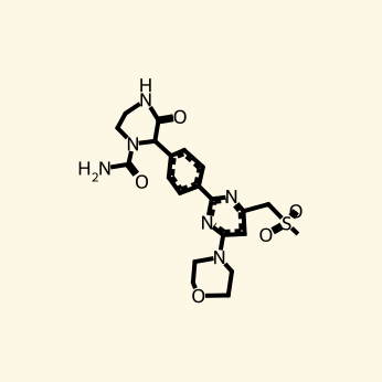 CS(=O)(=O)Cc1cc(N2CCOCC2)nc(-c2ccc(C3C(=O)NCCN3C(N)=O)cc2)n1